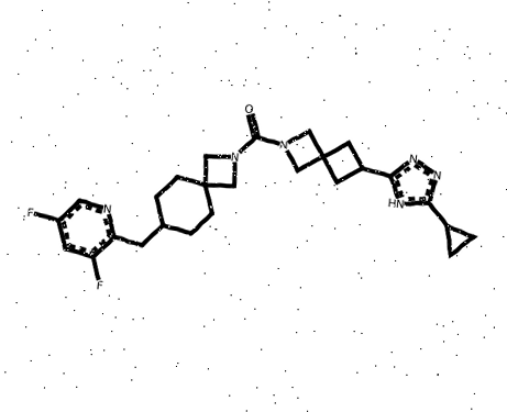 O=C(N1CC2(CCC(Cc3ncc(F)cc3F)CC2)C1)N1CC2(CC(c3nnc(C4CC4)[nH]3)C2)C1